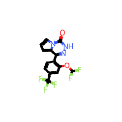 O=c1[nH]nc(-c2ccc(C(F)(F)F)cc2OC(F)F)c2cccn12